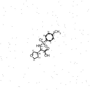 Cc1ccc(S(=O)(=O)NC(C(=O)O)[C@H]2CCOC2)cc1